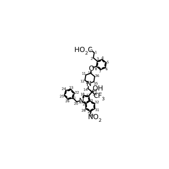 O=C(O)CCc1ccccc1OC1CCN(CC(O)(c2cn(Cc3ccccc3)c3cc([N+](=O)[O-])ccc23)C(F)(F)F)CC1